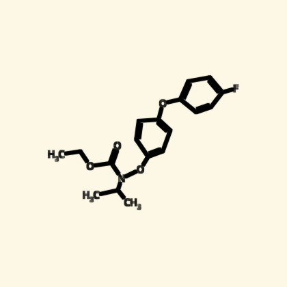 CCOC(=O)N(Oc1ccc(Oc2ccc(F)cc2)cc1)C(C)C